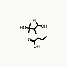 CCC(O)C(C)C(C)(C)O.CCCC(=O)O